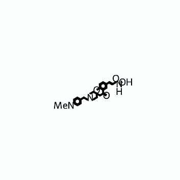 CNc1ccc(CCN2CCC3(CC2)CC(=O)c2cc(C=CC(=O)NO)ccc2O3)cc1